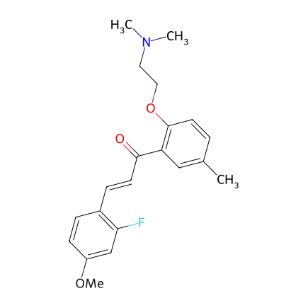 COc1ccc(/C=C/C(=O)c2cc(C)ccc2OCCN(C)C)c(F)c1